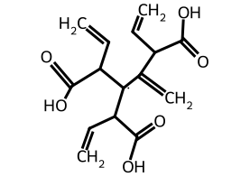 C=CC([C](C(=C)C(C=C)C(=O)O)C(C=C)C(=O)O)C(=O)O